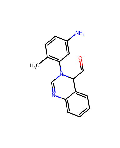 Cc1ccc(N)cc1N1C=Nc2ccccc2C1C=O